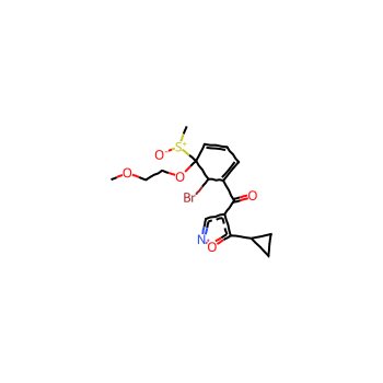 COCCOC1([S+](C)[O-])C=CC=C(C(=O)c2cnoc2C2CC2)C1Br